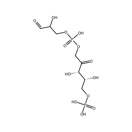 O=CC(O)COP(=O)(O)OCC(=O)[C@@H](O)[C@H](O)COP(=O)(O)O